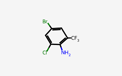 Nc1c(Cl)cc(Br)cc1C(F)(F)F